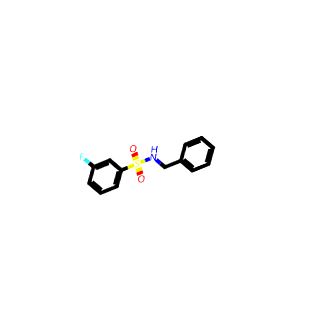 O=S(=O)(NCc1ccccc1)c1[c]c(F)ccc1